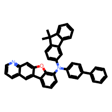 CC1(C)c2ccccc2-c2cc(N(c3ccc(-c4ccccc4)cc3)c3cccc4c3oc3cc5ncccc5cc34)ccc21